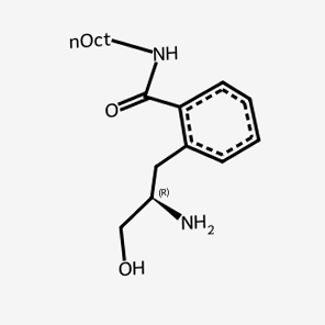 CCCCCCCCNC(=O)c1ccccc1C[C@@H](N)CO